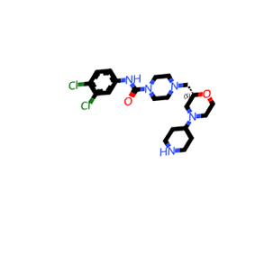 O=C(Nc1ccc(Cl)c(Cl)c1)N1CCN(C[C@H]2CN(C3CCNCC3)CCO2)CC1